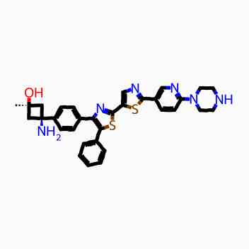 C[C@]1(O)C[C@](N)(c2ccc(-c3nc(-c4cnc(-c5ccc(N6CCNCC6)nc5)s4)sc3-c3ccccc3)cc2)C1